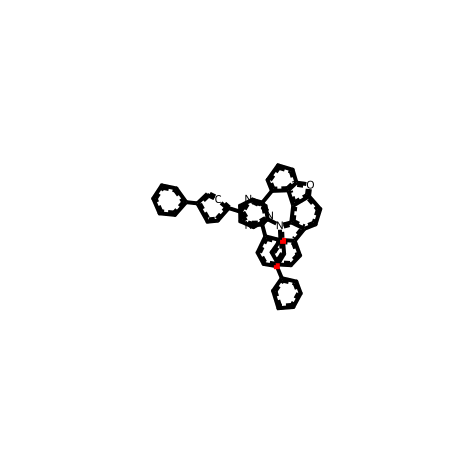 c1ccc(-c2ccc(-c3nc(-c4ccc(-c5ccccc5)cc4)nc(-c4cccc5oc6ccc7c8ccccc8n(-c8ccccc8)c7c6c45)n3)cc2)cc1